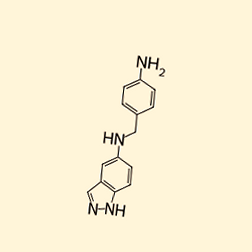 Nc1ccc(CNc2ccc3[nH]ncc3c2)cc1